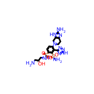 NC[C@@H](O)CNS(=O)(=O)c1ccc(N2CCc3nc(N)[nH]c3C2)c(-c2nn[nH]n2)c1S(N)(=O)=O